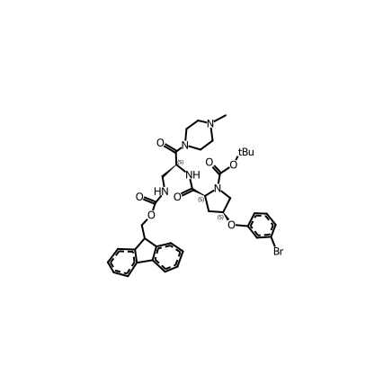 CN1CCN(C(=O)[C@H](CNC(=O)OCC2c3ccccc3-c3ccccc32)NC(=O)[C@@H]2C[C@H](Oc3cccc(Br)c3)CN2C(=O)OC(C)(C)C)CC1